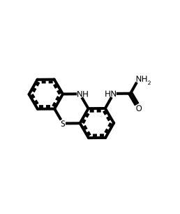 NC(=O)Nc1cccc2c1Nc1ccccc1S2